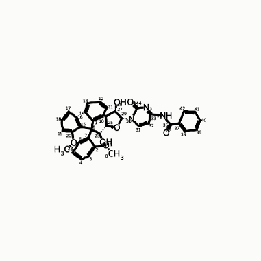 COc1ccccc1C(c1ccccc1)(c1ccccc1OC)C(O)[C@@H]1C[C@@H](O)[C@H](n2ccc(NC(=O)c3ccccc3)nc2=O)O1